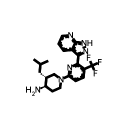 CC(C)C[C@@H]1CN(c2ccc(C(F)(F)F)c(-c3n[nH]c4ncccc34)n2)CC[C@H]1N